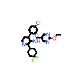 CCOc1ncc(C(=O)Nc2c(-c3ccc(Cl)cc3)ccnc2C2CCC(F)(F)CC2)cn1